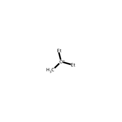 CC[O+](C)CC